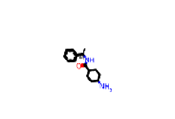 C[C@@H](NC(=O)C1CCC(N)CC1)c1ccccc1